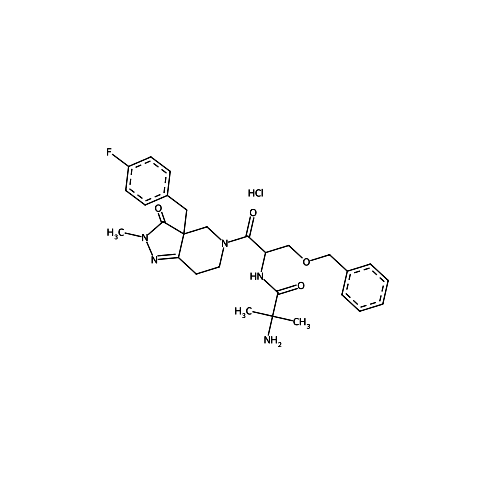 CN1N=C2CCN(C(=O)C(COCc3ccccc3)NC(=O)C(C)(C)N)CC2(Cc2ccc(F)cc2)C1=O.Cl